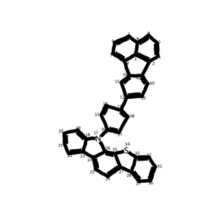 c1cc2c3c(cccc3c1)-c1cc(-c3ccc(-n4c5ccccc5c5ccc6c7ccccc7sc6c54)cc3)ccc1-2